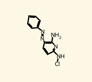 Nc1nc(NCl)ccc1/N=N/c1ccccc1